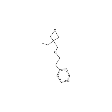 CCC1(COCCc2ccncc2)COC1